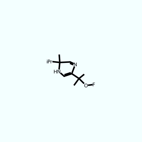 CC(C)C1(C)C=NC(C(C)(C)OF)=CN1